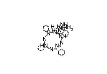 [NH2][Nb]([NH2])([NH2])([NH2])[c]1cccc2c3nc4nc(nc5[nH]c(nc6nc(nc([nH]3)c12)-c1ccccc1-6)c1ccccc51)-c1ccccc1-4